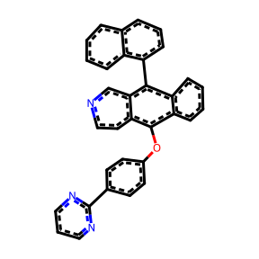 c1cnc(-c2ccc(Oc3c4ccccc4c(-c4cccc5ccccc45)c4cnccc34)cc2)nc1